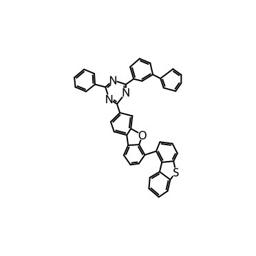 c1ccc(-c2cccc(-c3nc(-c4ccccc4)nc(-c4ccc5c(c4)oc4c(-c6cccc7sc8ccccc8c67)cccc45)n3)c2)cc1